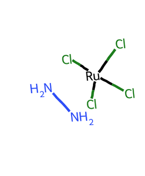 NN.[Cl][Ru]([Cl])([Cl])[Cl]